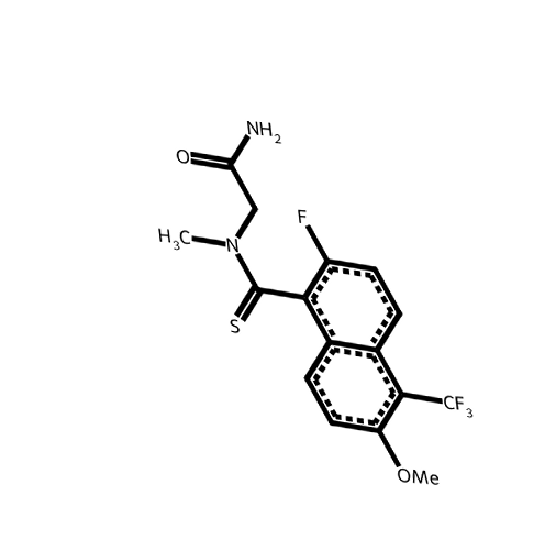 COc1ccc2c(C(=S)N(C)CC(N)=O)c(F)ccc2c1C(F)(F)F